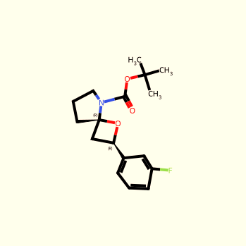 CC(C)(C)OC(=O)N1CCC[C@@]12C[C@H](c1cccc(F)c1)O2